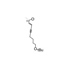 C[C@H]([O])C=CC#CCCCCOC(C)(C)C